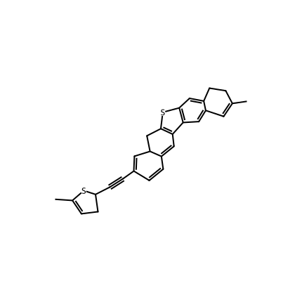 CC1=Cc2cc3c4c(sc3cc2CC1)CC1C=C(C#CC2CC=C(C)S2)C=CC1=C4